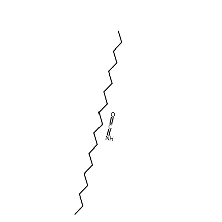 CCCCCCCCCCCCCCCCCCC.N=C=O